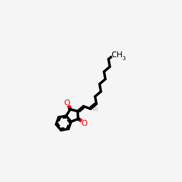 CCCCCCCC/C=C\C=C1C(=O)c2ccccc2C1=O